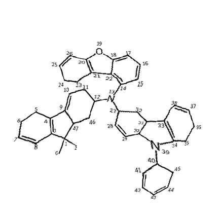 CC1(C)C2=C(CCC=C2)C2=CCC(N(c3cccc4oc5c(c34)CCC=C5)C3C=CC4C(C3)C3=C(CCC=C3)N4C3C=CC=CC3)CC21